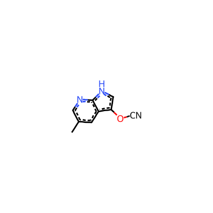 Cc1cnc2[nH]cc(OC#N)c2c1